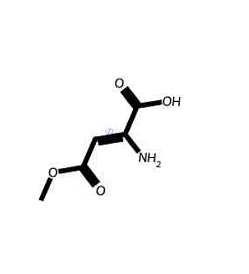 COC(=O)/C=C(\N)C(=O)O